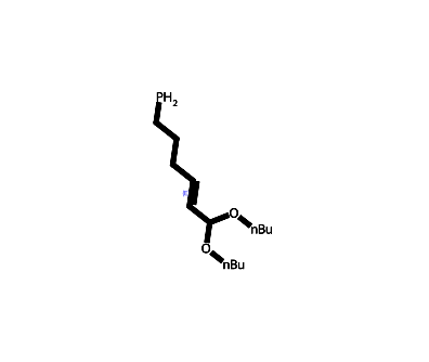 CCCCOC(/C=C/CCCP)OCCCC